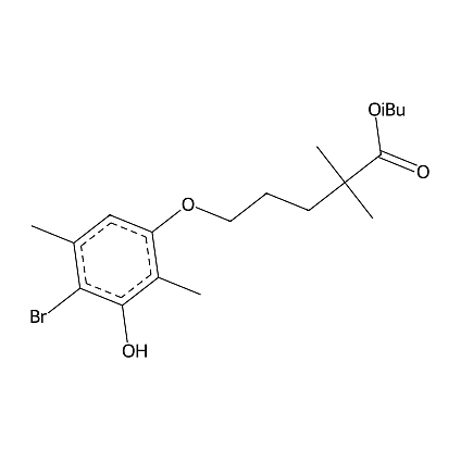 Cc1cc(OCCCC(C)(C)C(=O)OCC(C)C)c(C)c(O)c1Br